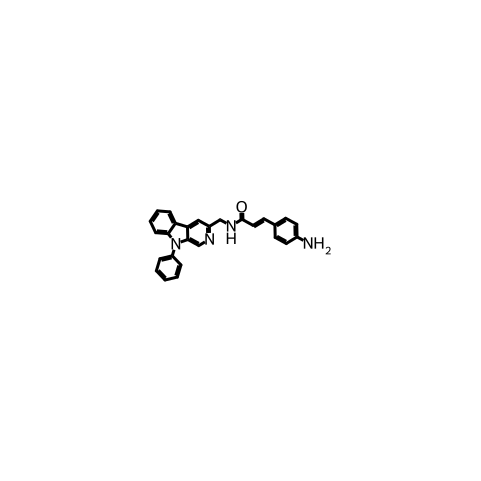 Nc1ccc(/C=C/C(=O)NCc2cc3c4ccccc4n(-c4ccccc4)c3cn2)cc1